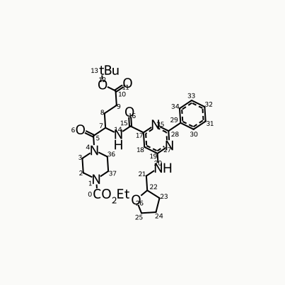 CCOC(=O)N1CCN(C(=O)C(CCC(=O)OC(C)(C)C)NC(=O)c2cc(NCC3CCCO3)nc(-c3ccccc3)n2)CC1